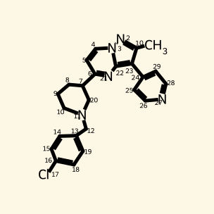 Cc1nn2ccc(C3CCCN(Cc4ccc(Cl)cc4)C3)nc2c1-c1ccncc1